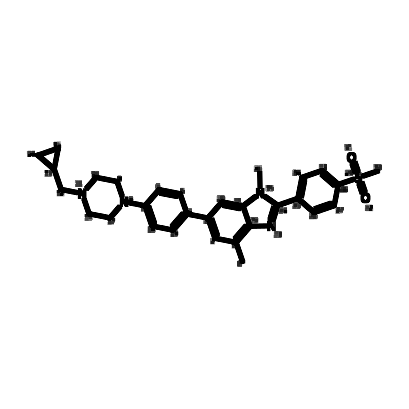 Cc1cc(-c2ccc(N3CCN(CC4CC4)CC3)cc2)cc2c1nc(-c1ccc(S(C)(=O)=O)cc1)n2C